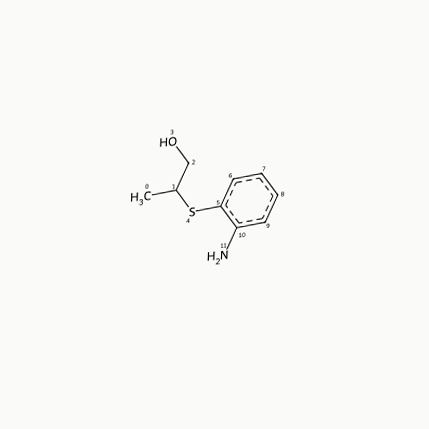 CC(CO)Sc1ccccc1N